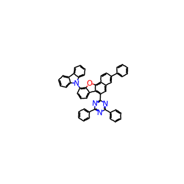 c1ccc(-c2ccc3c(c2)cc(-c2nc(-c4ccccc4)nc(-c4ccccc4)n2)c2c4cccc(-n5c6ccccc6c6ccccc65)c4oc32)cc1